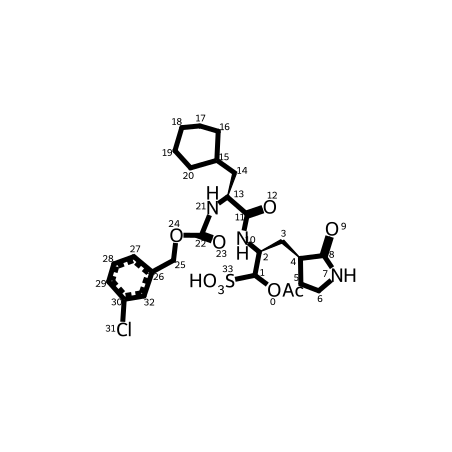 CC(=O)OC([C@H](C[C@@H]1CCNC1=O)NC(=O)[C@H](CC1CCCCC1)NC(=O)OCc1cccc(Cl)c1)S(=O)(=O)O